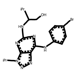 CC(C)C(CO)Nc1nc(Nc2ccc(Br)cc2)c2nnn(C(C)C)c2n1